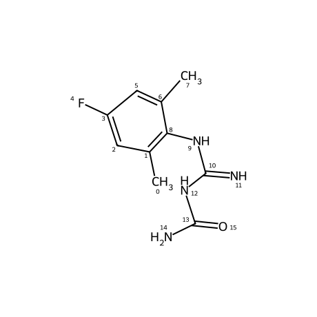 Cc1cc(F)cc(C)c1NC(=N)NC(N)=O